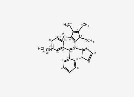 CC1=C(C)C(C)[C]([Zr]([C]2=CC=CC2)=[C](c2ccccc2)c2ccccc2)=C1C.Cl.Cl